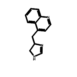 C1=NC(Cc2ccnc3ccccc23)CN1